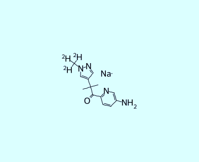 [2H]C([2H])([2H])n1cc(C(C)(C)C(=O)c2ccc(N)cn2)cn1.[Na]